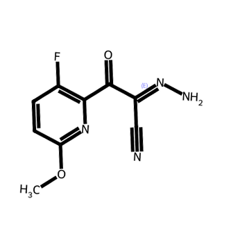 COc1ccc(F)c(C(=O)/C(C#N)=N/N)n1